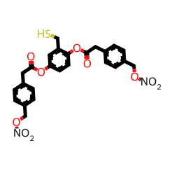 O=C(Cc1ccc(CO[N+](=O)[O-])cc1)Oc1ccc(OC(=O)Cc2ccc(CO[N+](=O)[O-])cc2)c(CS)c1